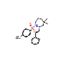 CC1(C)CCCN(S(=O)(=O)c2ccc(C(C)(C)C)cc2)C(C=Cc2ccccc2)C1